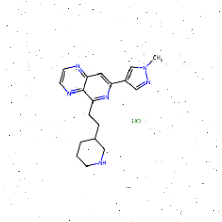 Cl.Cn1cc(-c2cc3nccnc3c(CCC3CCCNC3)n2)cn1